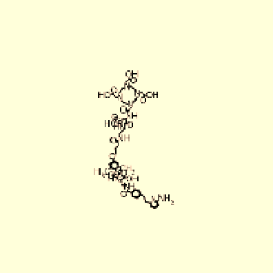 Cc1cc(OCCCC(=O)NCCNC(=O)[C@H](CS(=O)(=O)O)NC(=O)CN2CCN(CC(=O)O)CCN(CC(=O)O)CCN(CC(=O)O)CC2)cc(C)c1S(=O)(=O)N[C@@H](CNC(=O)c1ccc(CCc2cccc(N)n2)cc1)C(=O)O